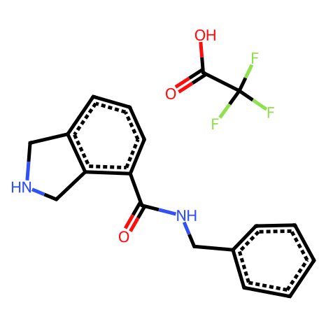 O=C(NCc1ccccc1)c1cccc2c1CNC2.O=C(O)C(F)(F)F